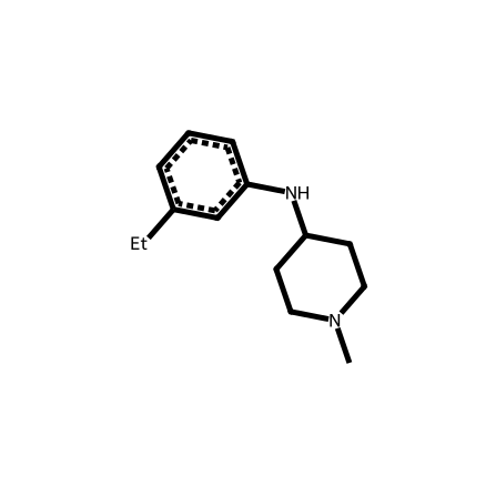 CCc1cccc(NC2CCN(C)CC2)c1